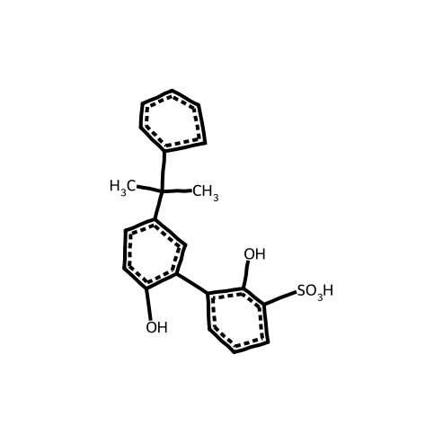 CC(C)(c1ccccc1)c1ccc(O)c(-c2cccc(S(=O)(=O)O)c2O)c1